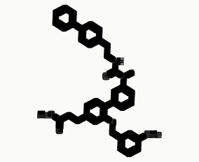 COC(=O)CCc1ccc(-c2cccc(N(C)C(=O)NCCc3ccc(-c4ccccc4)cc3)c2)c(OCc2cccc(OC)c2)c1